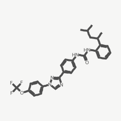 CC(C)CC(C)c1ccccc1NC(=O)Nc1ccc(-c2ncn(-c3ccc(OC(F)(F)F)cc3)n2)cc1